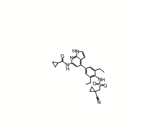 CCc1cc(-c2cc(NC(=O)C3CC3)nc3[nH]ccc23)cc(CC)c1NS(=O)(=O)CC1(C#N)CC1